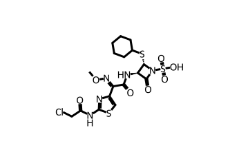 CON=C(C(=O)N[C@@H]1C(=O)N(S(=O)(=O)O)[C@H]1SC1CCCCC1)c1csc(NC(=O)CCl)n1